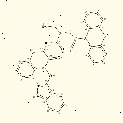 CC(C)CC(CC(=O)C1c2ccccc2Oc2ccccc21)C(=O)N[C@@H](Cc1ccccc1)C(=O)COn1nnc2ccccc21